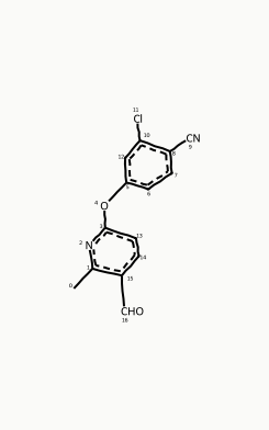 Cc1nc(Oc2ccc(C#N)c(Cl)c2)ccc1C=O